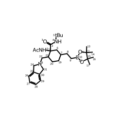 CC(=O)NC1(C(=O)NC(C)(C)C)CC(CCB2OC(C)(C)C(C)(C)O2)CCC1CN1Cc2ccccc2C1